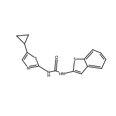 O=C(Nc1cc2ccccc2s1)Nc1ncc(C2CC2)s1